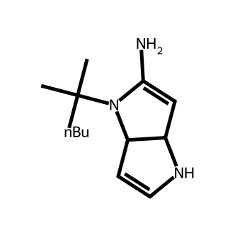 CCCCC(C)(C)N1C(N)=CC2NC=CC21